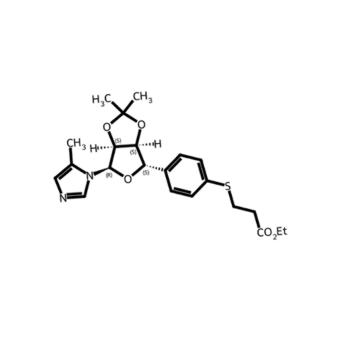 CCOC(=O)CCSc1ccc([C@@H]2O[C@@H](n3cncc3C)[C@H]3OC(C)(C)O[C@H]32)cc1